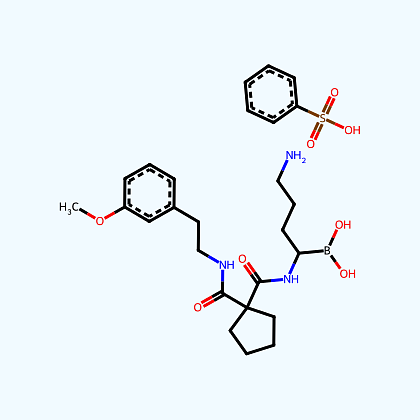 COc1cccc(CCNC(=O)C2(C(=O)NC(CCCN)B(O)O)CCCC2)c1.O=S(=O)(O)c1ccccc1